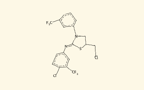 FC(F)(F)c1cccc(N2CC(CCl)SC2=Nc2ccc(Cl)c(C(F)(F)F)c2)c1